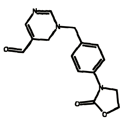 O=CC1=CN=CN(Cc2ccc(N3CCOC3=O)cc2)C1